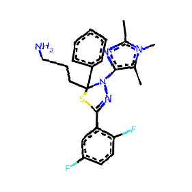 Cc1nc(N2N=C(c3cc(F)ccc3F)SC2(CCCN)c2ccccc2)c(C)n1C